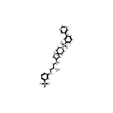 CS(=O)(=O)c1cccc(OC[C@@H](O)CNC2COC3(CCN(S(=O)(=O)c4cccc(-c5cncnc5)c4)CC3)C2)c1